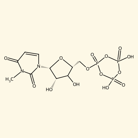 Cn1c(=O)ccn([C@@H]2O[C@H](COP3(=O)OP(=O)(O)OP(=O)(O)O3)C(O)[C@@H]2O)c1=O